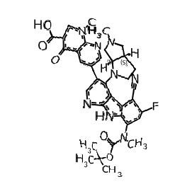 CN1C[C@@H]2CCN(c3c(-c4cnc5c(c4)c(=O)c(C(=O)O)cn5C)cnc4[nH]c5c(N(C)C(=O)OC(C)(C)C)cc(F)c(C#N)c5c34)[C@@H]2C1